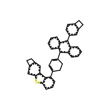 C1=C(c2c3ccccc3c(-c3ccc4c(c3)CC4)c3ccccc23)CCC(c2cccc3sc4cc5c(cc4c23)CC5)=C1